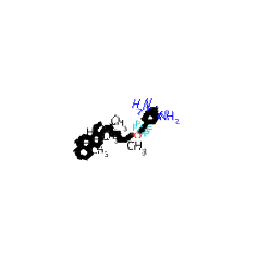 CC(CCC[C@@H](C)[C@H]1CC[C@H]2[C@@H]3CCC4CCCC[C@]4(C)[C@H]3CC[C@]12C)COC(F)(F)C(F)(F)c1cc(N)cc(N)c1